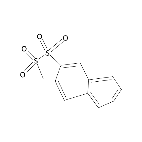 CS(=O)(=O)S(=O)(=O)c1ccc2ccccc2c1